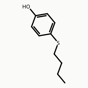 CCCCSc1ccc(O)cc1